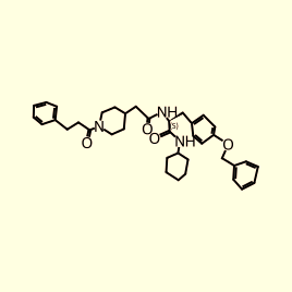 O=C(CC1CCN(C(=O)CCc2ccccc2)CC1)N[C@@H](Cc1ccc(OCc2ccccc2)cc1)C(=O)NC1CCCCC1